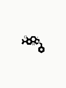 C=C(C)c1ccc2c(c1Cl)CC[C@@]1(C)CN(Cc3ccccc3)C[C@@H]21